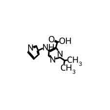 CC(C)c1ncc(Nc2cccnc2)c(C(=O)O)n1